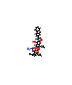 CO[C@@H]1[C@@H](OC(N)=O)[C@@H](O)[C@H](Oc2ccc3c(O)c(NC(=O)c4ccc5c(c4)oc4ccccc45)c(=O)oc3c2C)OC1(C)C